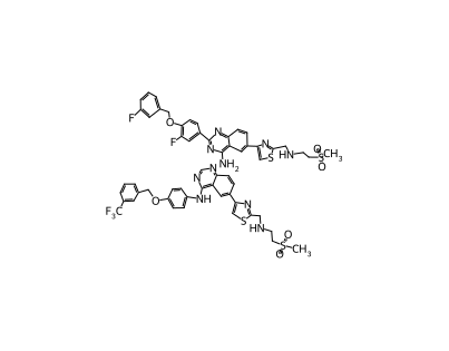 CS(=O)(=O)CCNCc1nc(-c2ccc3nc(-c4ccc(OCc5cccc(F)c5)c(F)c4)nc(N)c3c2)cs1.CS(=O)(=O)CCNCc1nc(-c2ccc3ncnc(Nc4ccc(OCc5cccc(C(F)(F)F)c5)cc4)c3c2)cs1